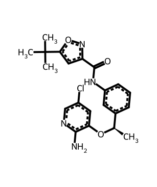 C[C@@H](Oc1cc(Cl)cnc1N)c1cccc(NC(=O)c2cc(C(C)(C)C)on2)c1